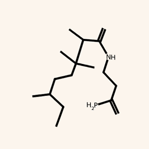 C=C(P)CCNC(=C)C(C)C(C)(C)CCC(C)CC